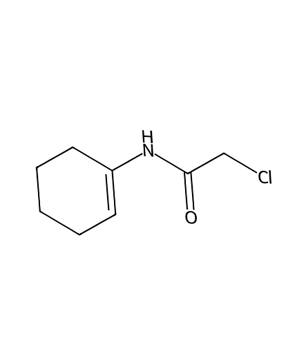 O=C(CCl)NC1=CCCCC1